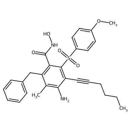 CCCCC#Cc1c(N)c(C)c(Cc2ccccc2)c(C(=O)NO)c1S(=O)(=O)c1ccc(OC)cc1